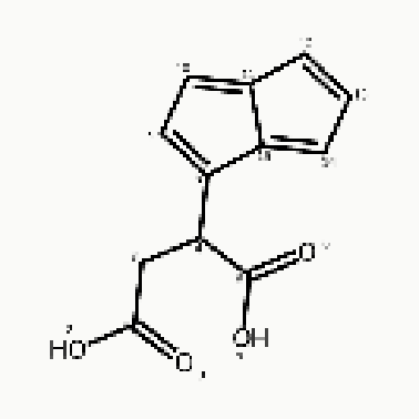 O=C(O)CC(C(=O)O)C1=CC=C2C=CC=C21